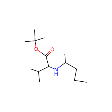 CCCC(C)NC(C(=O)OC(C)(C)C)C(C)C